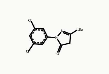 CC(C)(C)C1=NN(c2cc(Cl)cc(Cl)c2)C(=O)C1